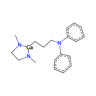 C[N]1CC[N](C)[Ga]1[CH2]CCN(c1ccccc1)c1ccccc1